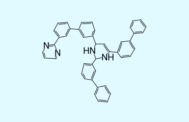 C1=C(c2cccc(-c3ccccc3)c2)NC(c2cccc(-c3ccccc3)c2)NC1c1cccc(-c2cccc(-c3ncccn3)c2)c1